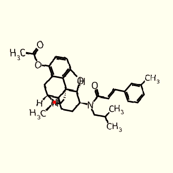 CC(=O)Oc1ccc2c3c1C[C@@H]1[C@@H]4CC[C@H](N(CC(C)C)C(=O)C=Cc5cccc(C)c5)[C@H](O2)[C@]34CCN1C